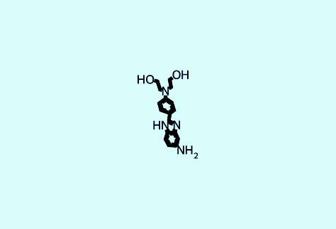 Nc1ccc2[nH]c(-c3ccc(N(CCO)CCO)cc3)nc2c1